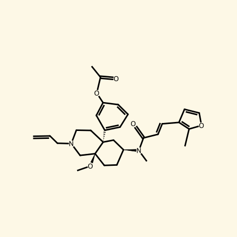 C=CCN1CC[C@@]2(c3cccc(OC(C)=O)c3)C[C@@H](N(C)C(=O)/C=C/c3ccoc3C)CC[C@]2(OC)C1